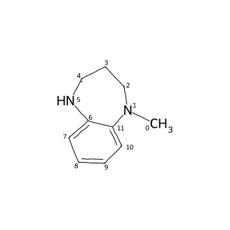 CN1CC[CH]Nc2ccccc21